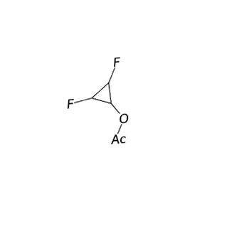 CC(=O)OC1C(F)C1F